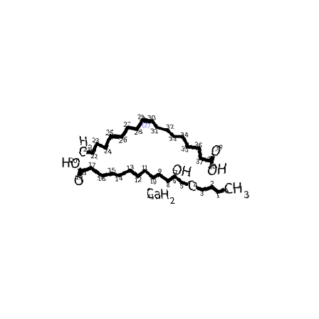 CCCCCCC(O)CCCCCCCCCCC(=O)O.CCCCCCCC/C=C\CCCCCCCC(=O)O.[CaH2]